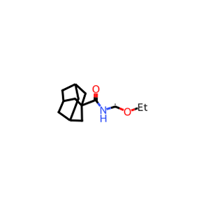 CCO[CH]NC(=O)C12CC3CC(CC(C3)C1)C2